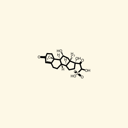 C[C@]12CCC(=O)C=C1CC[C@@H]1[C@@H]2[C@@H](O)C[C@@]2(C)[C@H]1CC[C@]2(O)C(=O)C(O)S(=O)(=O)O